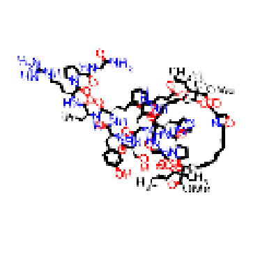 C/C=C/C(O)C(C)(C(=O)OC)C1C\C=C/C=C/C=C/c2nc(co2)C(=O)OC(C(C)(C(=O)OC)C(/C=C/C)OC(=O)CCC(=O)NCCCC[C@H](NC(=O)[C@H](Cc2ccc(O)cc2)NC(=O)[C@H](CO)NC(=O)[C@H](Cc2c[nH]c3ccccc23)NC(=O)[C@H](Cc2cnc[nH]2)NC(=O)[C@@H]2CCC(=O)N2)C(=O)N[C@@H](CC(C)C)C(=O)N[C@@H](CCCNC(=N)N)C(=O)N2CCC[C@H]2C(=O)NCC(N)=O)C\C=C/C=C/C=C/c2nc(co2)C(=O)O1